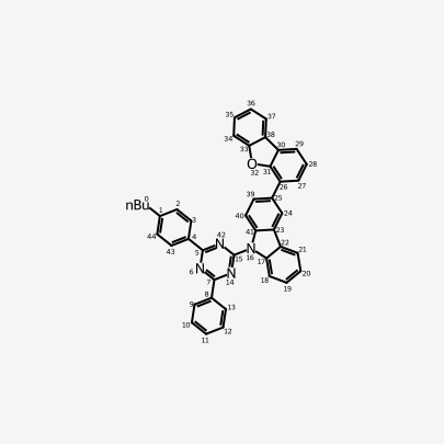 CCCCc1ccc(-c2nc(-c3ccccc3)nc(-n3c4ccccc4c4cc(-c5cccc6c5oc5ccccc56)ccc43)n2)cc1